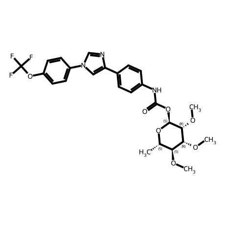 CO[C@@H]1[C@@H](OC)[C@H](C)O[C@@H](OC(=O)Nc2ccc(-c3cn(-c4ccc(OC(F)(F)F)cc4)cn3)cc2)[C@@H]1OC